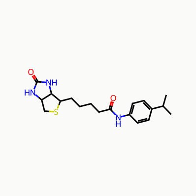 CC(C)c1ccc(NC(=O)CCCCC2SCC3NC(=O)NC32)cc1